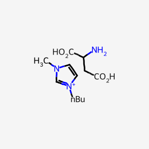 CCCC[n+]1ccn(C)c1.NC(CC(=O)O)C(=O)O